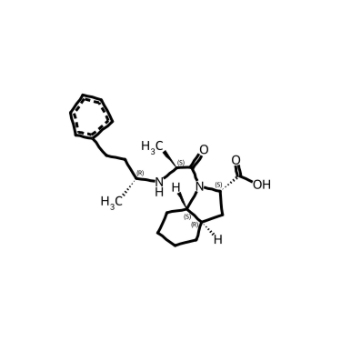 C[C@H](CCc1ccccc1)N[C@@H](C)C(=O)N1[C@H](C(=O)O)C[C@H]2CCCC[C@@H]21